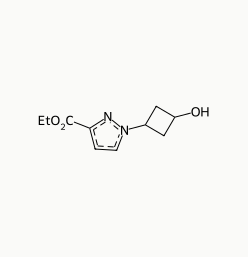 CCOC(=O)c1ccn(C2CC(O)C2)n1